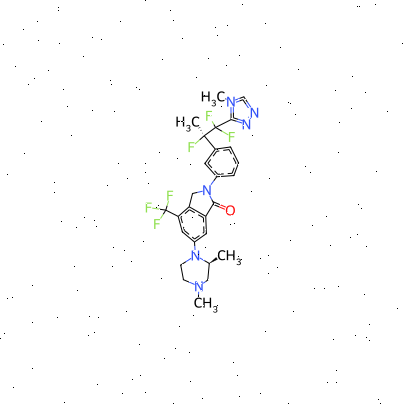 C[C@H]1CN(C)CCN1c1cc2c(c(C(F)(F)F)c1)CN(c1cccc([C@@](C)(F)C(F)(F)c3nncn3C)c1)C2=O